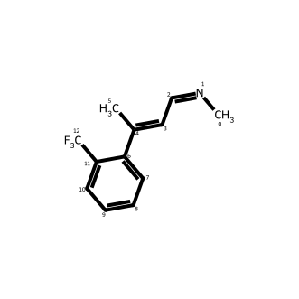 C/N=C\C=C(/C)c1ccccc1C(F)(F)F